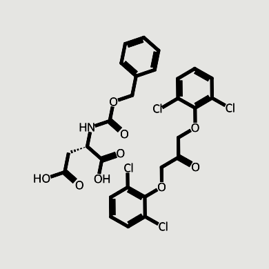 O=C(COc1c(Cl)cccc1Cl)COc1c(Cl)cccc1Cl.O=C(O)C[C@H](NC(=O)OCc1ccccc1)C(=O)O